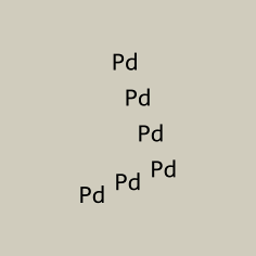 [Pd].[Pd].[Pd].[Pd].[Pd].[Pd]